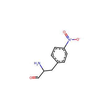 NC([C]=O)Cc1ccc([N+](=O)[O-])cc1